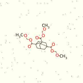 COCOC(=O)C12CC3CC(C(=O)OCOC)(C1)CC(C(=O)OCOC)(C3)C2